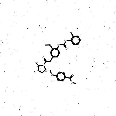 COC(=O)c1ccc(OC[C@@H]2CC[C@@H](C)N2C(=O)Cc2ccc(NC(=O)Nc3ccccc3C)c(OC)c2)cc1